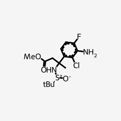 COC(=O)CC(C)(N[S@+]([O-])C(C)(C)C)c1ccc(F)c(N)c1Cl